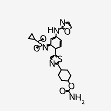 NC(=O)OC1CCC(c2ncc(C3C=CC(Nc4ncco4)=CC3=NS(=O)(=O)C3CC3)s2)CC1